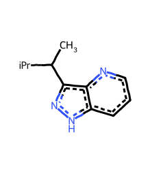 CC(C)C(C)c1n[nH]c2cccnc12